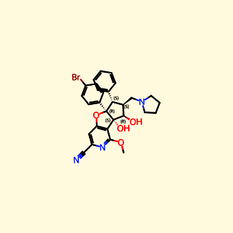 COc1nc(C#N)cc2c1[C@]1(O)[C@H](O)[C@H](CN3CCCC3)[C@@H](c3ccccc3)[C@]1(c1ccc(Br)cc1)O2